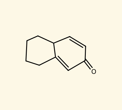 O=C1C=CC2CCCCC2=C1